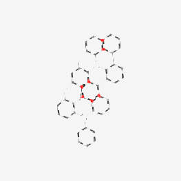 c1ccc(-c2cccc(-c3ccccc3)c2B2c3ccccc3Oc3cc4c(cc32)B2c3ccccc3N(c3ccccc3)c3cccc(c32)O4)cc1